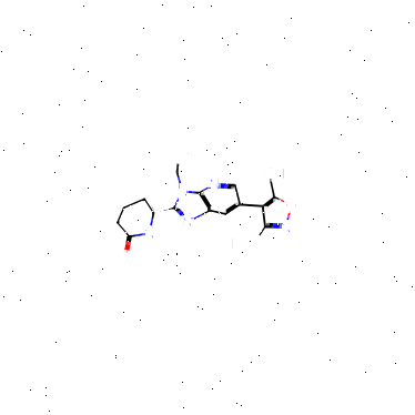 Cc1noc(C)c1-c1cnc2c(c1)nc([C@@H]1CCCC(=O)N1)n2CC(C)C